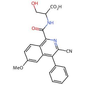 COc1ccc2c(C(=O)NC(CO)C(=O)O)nc(C#N)c(-c3ccccc3)c2c1